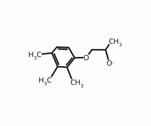 Cc1ccc(OCC(C)[O])c(C)c1C